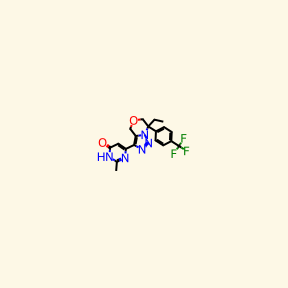 CCC1(c2ccc(C(F)(F)F)cc2)COCc2c(-c3cc(=O)[nH]c(C)n3)nnn21